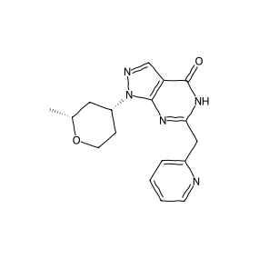 C[C@@H]1C[C@H](n2ncc3c(=O)[nH]c(Cc4ccccn4)nc32)CCO1